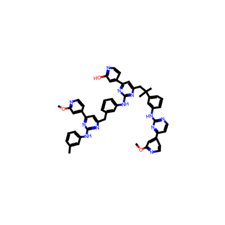 COc1cc(-c2ccnc(Nc3cccc(C(C)(C)Cc4cc(-c5ccnc(O)c5)nc(Nc5cccc(Cc6cc(-c7ccnc(OC)c7)nc(Nc7cccc(C)c7)n6)c5)n4)c3)n2)ccn1